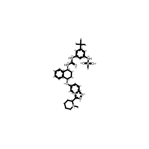 CN1CCCCC1c1nnc2ccc(O[C@@H]3CC[C@H](NC(=O)Nc4cc(NS(C)(=O)=O)cc(C(C)(C)C)c4)c4ccccc43)cn12